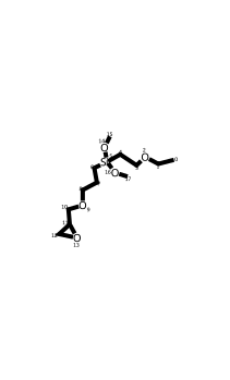 CCOCC[Si](CCCOCC1CO1)(OC)OC